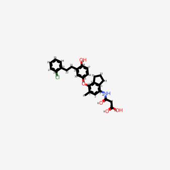 Cc1cc(NC(=O)CC(=O)O)c2c(c1Oc1ccc(O)c(CCc3ccccc3Cl)c1)CCC2